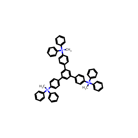 C[N+](c1ccccc1)(c1ccccc1)c1ccc(-c2cc(-c3ccc([N+](C)(c4ccccc4)c4ccccc4)cc3)cc(-c3ccc([N+](C)(c4ccccc4)c4ccccc4)cc3)c2)cc1